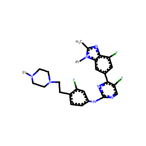 CCN1CCN(CCc2ccc(Nc3ncc(F)c(-c4cc(F)c5nc(C)n(C(C)C)c5c4)n3)cc2F)CC1